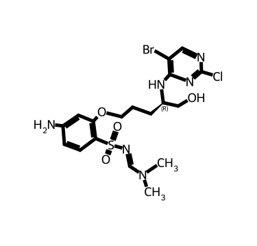 CN(C)C=NS(=O)(=O)c1ccc(N)cc1OCCC[C@H](CO)Nc1nc(Cl)ncc1Br